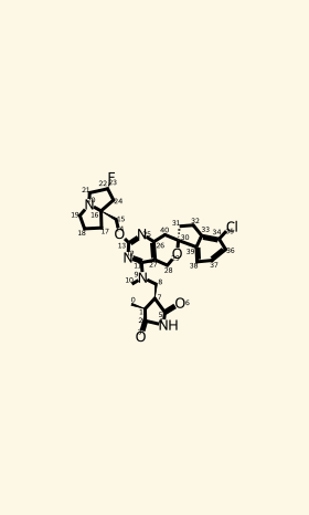 C[C@@H]1C(=O)NC(=O)[C@@H]1CN(C)c1nc(OC[C@@]23CCCN2C[C@H](F)C3)nc2c1CO[C@@]1(CCc3c(Cl)cccc31)C2